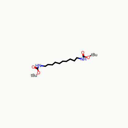 CC(C)(C)OC(=O)NCCCCCCCCCCNC(=O)OC(C)(C)C